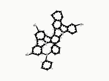 CC(C)(C)c1ccc2c(c1)c1c3ccccc3cc3c4c5c6cc(C(C)(C)C)cc7c8cc(C(C)(C)C)cc(N(c9ccccc9)c9ccccc9)c8n(c5ccc4n2c31)c76